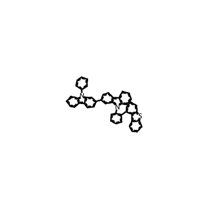 c1ccc(-n2c3ccccc3c3ccc(-c4ccc5c6ccccc6n(-c6ccccc6-c6cccc7sc8ccccc8c67)c5c4)cc32)cc1